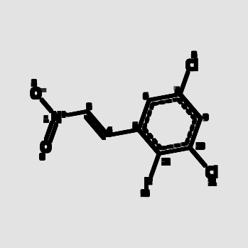 O=[N+]([O-])/C=C/c1cc(Cl)cc(Cl)c1F